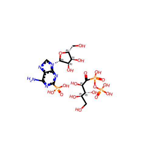 Nc1nc(P(=O)(O)O)nc2c1ncn2[C@@H]1O[C@H](CO)[C@@H](O)[C@H]1O.O=C([C@H](O)[C@H](O)[C@H](O)CO)P(=O)(O)OP(=O)(O)O